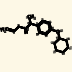 C=CCNC(C)c1ccc(OC2CCCCC2)cc1